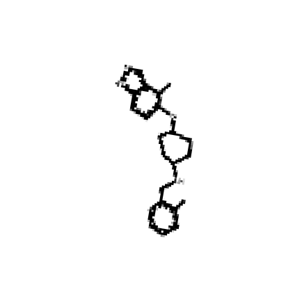 Cc1c(OC2CCC(NCc3ccccc3Cl)CC2)ccc2[nH]ncc12